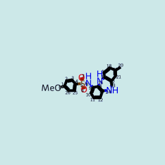 COc1ccc(S(=O)(=O)Nc2cccc3c2Nc2ccc(C)cc2CN3)cc1